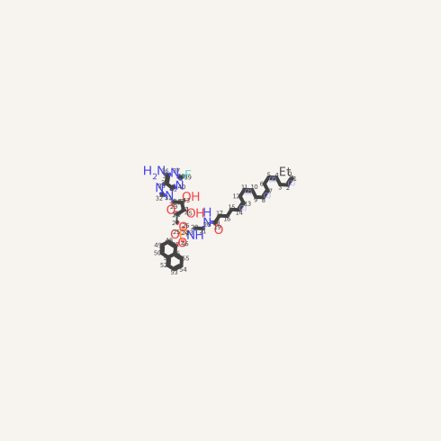 CC/C=C\C/C=C\C/C=C\C/C=C\C/C=C\CCCC(=O)NCCNP(=O)(OC[C@H]1OC(n2cnc3c(N)nc(F)nc32)[C@@H](O)[C@@H]1O)Oc1cccc2ccccc12